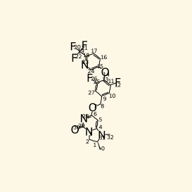 C[C@H]1Cn2c(cc(OCc3cc(F)c(Oc4ccc(C(F)(F)F)nc4)c(F)c3)nc2=O)N1C